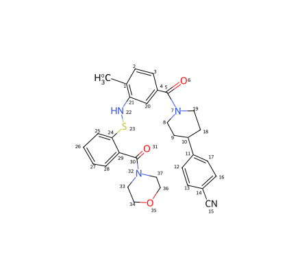 Cc1ccc(C(=O)N2CCC(c3ccc(C#N)cc3)CC2)cc1NSc1ccccc1C(=O)N1CCOCC1